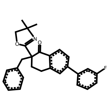 CC1(C)COC(C2(Cc3ccccc3)CCc3cc(-c4cccc(F)c4)ccc3C2=O)=N1